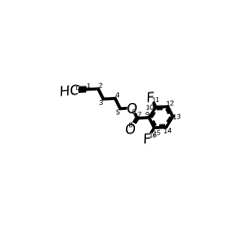 C#CCCCCOC(=O)c1c(F)cccc1F